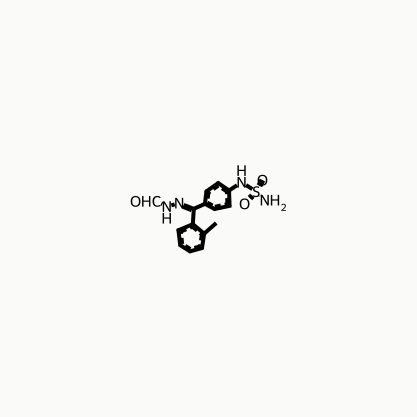 Cc1ccccc1/C(=N\NC=O)c1ccc(NS(N)(=O)=O)cc1